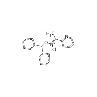 CC(c1ccccn1)=[N+](Cl)OC(c1ccccc1)c1ccccc1